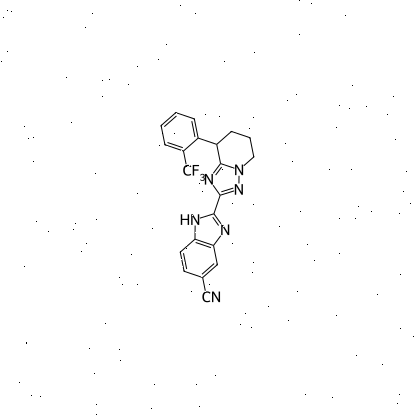 N#Cc1ccc2[nH]c(-c3nc4n(n3)CCCC4c3ccccc3C(F)(F)F)nc2c1